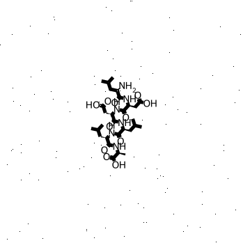 CC(C)C[C@H](NC(=O)[C@H](CC(C)C)NC(=O)[C@H](CC(=O)O)NC(=O)[C@H](CC(=O)O)NC(=O)[C@@H](N)CC(C)C)C(=O)N[C@@H](C)C(=O)O